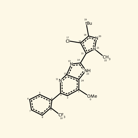 COc1cc(-c2ccccc2C(F)(F)F)nc2nc(-c3c(Cl)c(C(C)(C)C)nn3C)[nH]c12